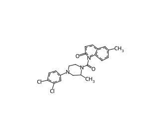 Cc1ccc2c(ccc(=O)n2C(=O)N2CCN(c3ccc(Cl)c(Cl)c3)CC2C)c1